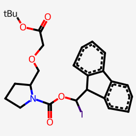 CC(C)(C)OC(=O)COCC1CCCN1C(=O)OC(I)C1c2ccccc2-c2ccccc21